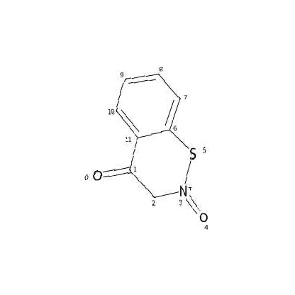 O=C1C[N+](=O)Sc2ccccc21